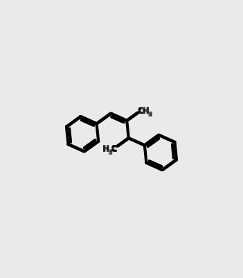 CC(=Cc1ccccc1)C(C)c1ccccc1